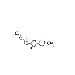 Cc1ccc(-c2ccc(-c3ccc(OCC4CCC4)s3)c(F)c2)cc1